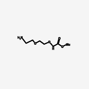 CC(C)(C)OC(=O)NOCCOCCN